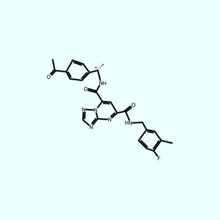 CC(=O)c1ccc([C@H](C)NC(=O)c2cc(C(=O)NCc3ccc(F)c(C)c3)nc3ncnn23)cc1